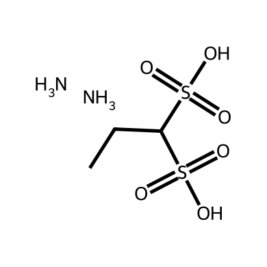 CCC(S(=O)(=O)O)S(=O)(=O)O.N.N